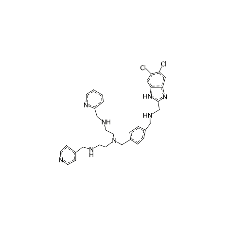 Clc1cc2nc(CNCc3ccc(CN(CCNCc4ccncc4)CCNCc4ccccn4)cc3)[nH]c2cc1Cl